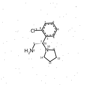 NC[C@H](c1ccccc1Cl)N1CCCC1